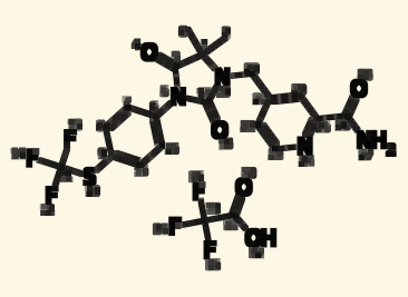 CC1(C)C(=O)N(c2ccc(SC(F)(F)F)cc2)C(=O)N1Cc1ccnc(C(N)=O)c1.O=C(O)C(F)(F)F